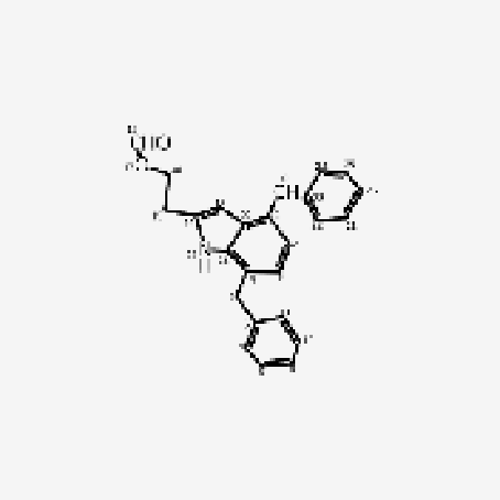 Cc1ccc(Cc2ccccc2)c2[nH]c(CCOC=O)cc12.c1ccccc1